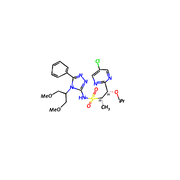 COCC(COC)n1c(NS(=O)(=O)[C@@H](C)[C@@H](OC(C)C)c2ncc(Cl)cn2)nnc1-c1ccccc1